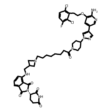 Nc1ncc(-c2cnn(C3CCN(C(=O)CCCCCCCN4CC(CNc5cccc6c5C(=O)N([C@H]5CCC(=O)NC5=O)C6=O)C4)CC3)c2)cc1OCCc1c(Cl)ccc(F)c1Cl